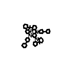 CC1(c2ccccc2)c2cccc3c2B2c4c(cc(N5c6ccccc6C6(C)CCCCC56C)cc4N(c4ccc(-c5ccccc5)cc4)c4cccc1c42)N3c1ccc(-c2ccccc2)cc1